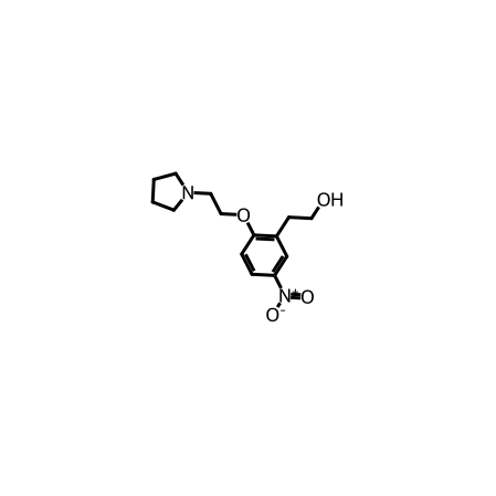 O=[N+]([O-])c1ccc(OCCN2CCCC2)c(CCO)c1